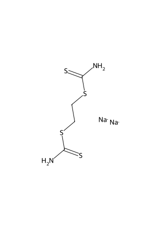 NC(=S)SCCSC(N)=S.[Na].[Na]